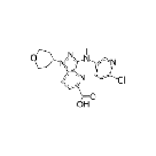 CN(c1ccc(Cl)nc1)c1nn(C2CCOCC2)c2ccc(C(=O)O)nc12